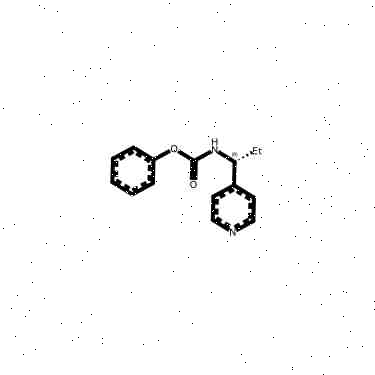 CC[C@@H](NC(=O)Oc1ccccc1)c1ccncc1